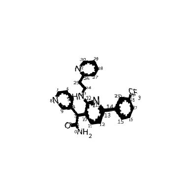 NC(=O)C(c1cccnc1)c1ccc(-c2cccc(C(F)(F)F)c2)nc1NCCc1ccccn1